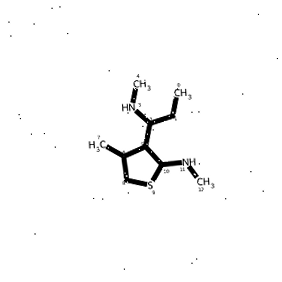 CCC(NC)C1C(C)CSC1NC